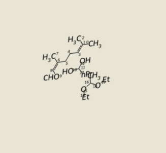 CC(C)=CCCC(C)=CC=O.CCCC(O)O.CCOC(C)OCC